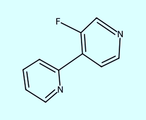 Fc1cnccc1-c1ccccn1